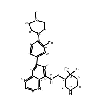 CN1CCN(c2ccc(-c3cc4nccnc4c(NCC4CNCCC4(F)F)n3)cc2F)CC1